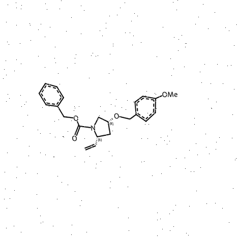 C=C[C@H]1C[C@@H](OCc2ccc(OC)cc2)CN1C(=O)OCc1ccccc1